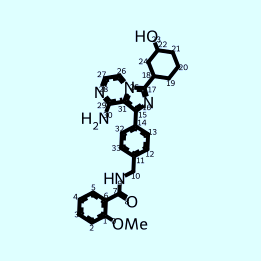 COc1ccccc1C(=O)NCc1ccc(-c2nc(C3CCCC(O)C3)n3ccnc(N)c23)cc1